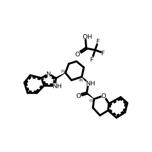 O=C(N[C@@H]1CCC[C@H](c2nc3ccccc3[nH]2)C1)[C@@H]1CCc2ccccc2O1.O=C(O)C(F)(F)F